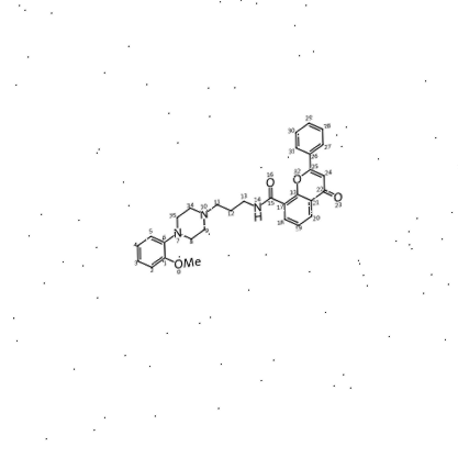 COc1ccccc1N1CCN(CCCNC(=O)c2cccc3c(=O)cc(-c4ccccc4)oc23)CC1